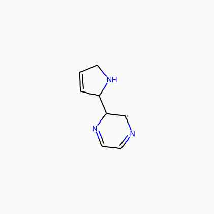 [C]1N=CC=NC1C1C=CCN1